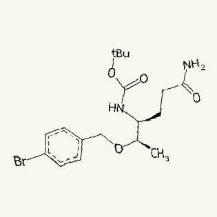 C[C@@H](OCc1ccc(Br)cc1)[C@H](CCC(N)=O)NC(=O)OC(C)(C)C